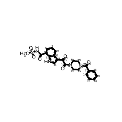 CS(=O)(=O)NC(=O)c1cccc2c(C(=O)C(=O)N3CCN(C(=O)c4ccccc4)CC3)c[nH]c12